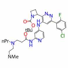 CCCN(CCNC)CCC(=O)Nc1cc(Nc2cc(-c3cc(Cl)ccc3F)nnc2C2CCN2C(=O)OC(C)(C)C)ccn1